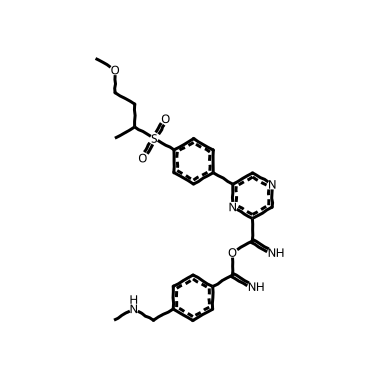 CNCc1ccc(C(=N)OC(=N)c2cncc(-c3ccc(S(=O)(=O)C(C)CCOC)cc3)n2)cc1